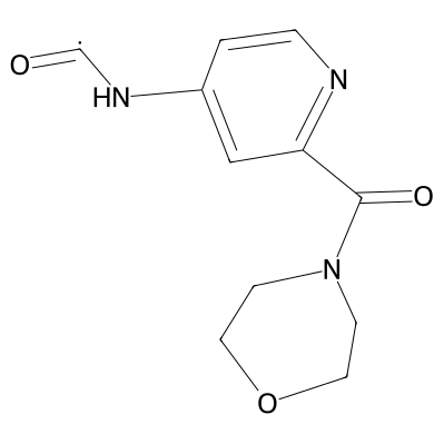 O=[C]Nc1ccnc(C(=O)N2CCOCC2)c1